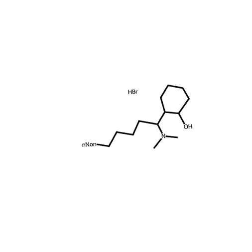 Br.CCCCCCCCCCCCCC(C1CCCCC1O)N(C)C